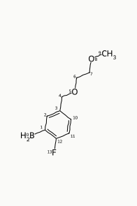 Bc1cc(COCCOC)ccc1F